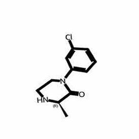 C[C@H]1NCCN(c2cccc(Cl)c2)C1=O